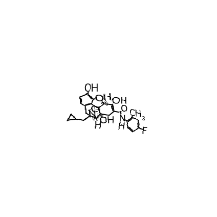 Cc1cc(F)ccc1NC(=O)C1=C(O)[C@@H]2Oc3c(O)ccc4c3[C@@]23CCN(CC2CC2)[C@H](C4)[C@]3(O)C1